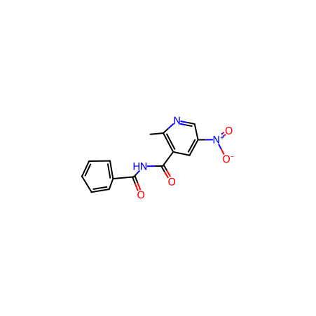 Cc1ncc([N+](=O)[O-])cc1C(=O)NC(=O)c1ccccc1